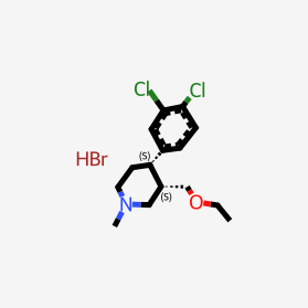 Br.CCOC[C@@H]1CN(C)CC[C@@H]1c1ccc(Cl)c(Cl)c1